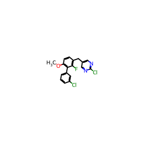 COc1ccc(Cc2cnc(Cl)nc2)c(F)c1-c1cccc(Cl)c1